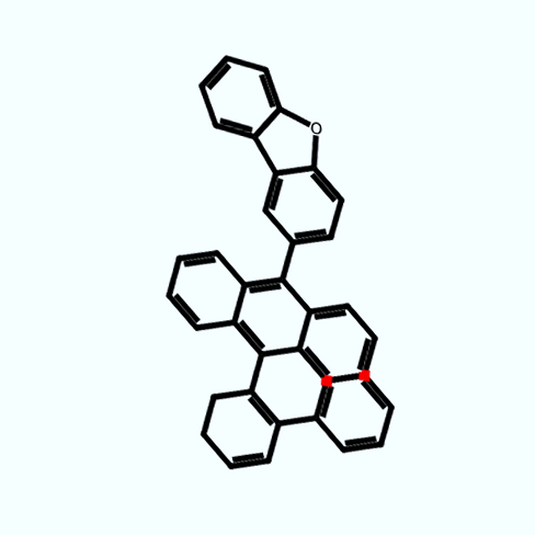 C1=CC(c2ccccc2)=C(c2c3ccccc3c(-c3ccc4oc5ccccc5c4c3)c3ccccc23)CC1